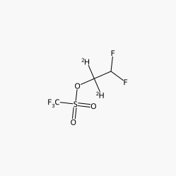 [2H]C([2H])(OS(=O)(=O)C(F)(F)F)C(F)F